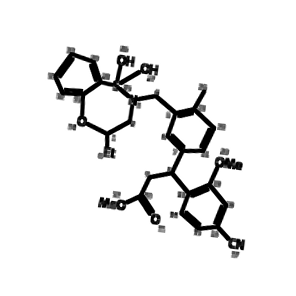 CCC1CN(Cc2cc(C(CC(=O)OC)c3ccc(C#N)cc3OC)ccc2C)S(O)(O)c2ccccc2O1